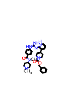 CN1CCC(N(C)C(=O)c2ccc(NC(=N)/N=c3\[nH]cccc3C3=CCN(C(=O)OCc4ccccc4)CC3)cc2)CC1